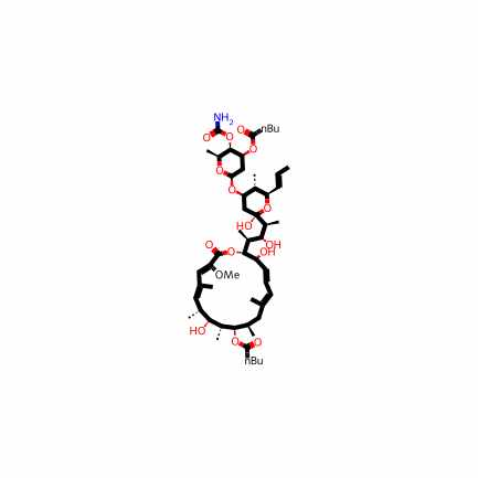 C/C=C/[C@H]1O[C@@](O)([C@@H](C)[C@H](O)[C@H](C)[C@H]2OC(=O)/C(OC)=C/C(C)=C/[C@@H](C)[C@@H](O)[C@@H](C)[C@@H](OC(=O)CCCC)[C@H](C)C/C(C)=C/C=C/[C@@H]2O)C[C@@H](O[C@@H]2C[C@H](OC(=O)CCCC)[C@@H](OC(N)=O)[C@H](C)O2)[C@@H]1C